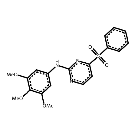 COc1cc(Nc2nccc(S(=O)(=O)c3ccccc3)n2)cc(OC)c1OC